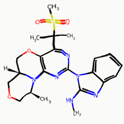 CNc1nc2ccccc2n1-c1nc2c(c(C(C)(C)S(C)(=O)=O)n1)OC[C@H]1COC[C@H](C)N21